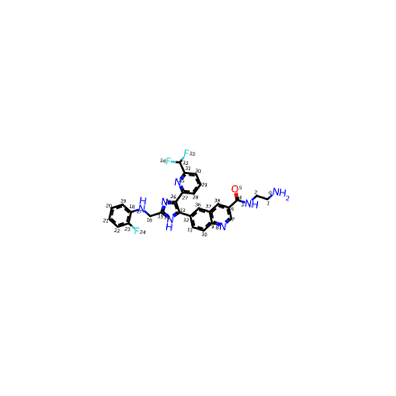 NCCNC(=O)c1cnc2ccc(-c3[nH]c(CNc4ccccc4F)nc3-c3cccc(C(F)F)n3)cc2c1